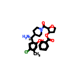 Cc1cc(O)c([C@H](N)C2CCN(C(=O)C3OCCC3OC(=O)c3ccccc3)CC2)cc1Cl